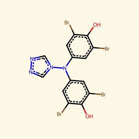 Oc1c(Br)cc(N(c2cc(Br)c(O)c(Br)c2)n2cnnc2)cc1Br